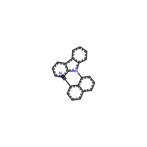 N#Cc1cccc2cccc(-n3c4ccccc4c4ccccc43)c12